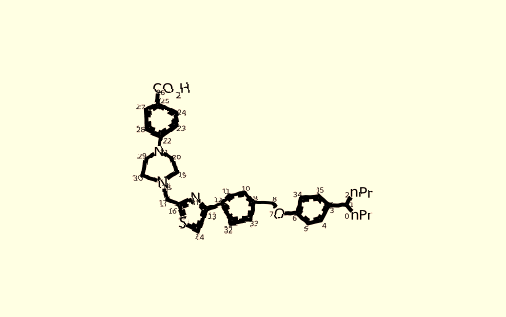 CCCC(CCC)c1ccc(OCc2ccc(-c3csc(CN4CCN(c5ccc(C(=O)O)cc5)CC4)n3)cc2)cc1